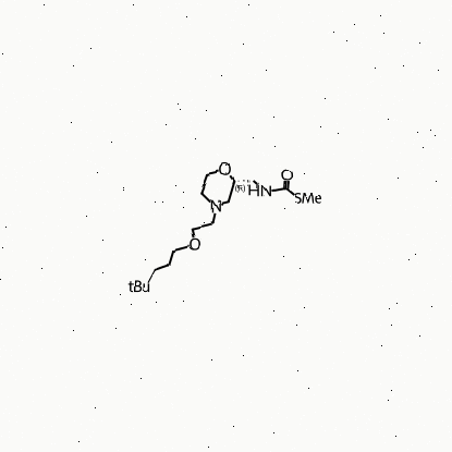 CSC(=O)NC[C@@H]1CN(CCOCCCC(C)(C)C)CCO1